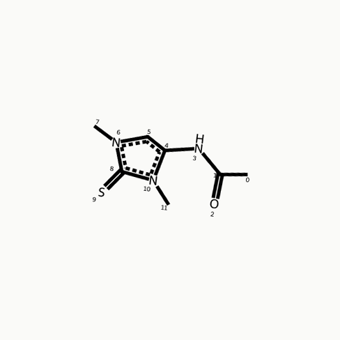 CC(=O)Nc1cn(C)c(=S)n1C